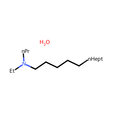 CCCCCCCCCCCCN(CC)CCC.O